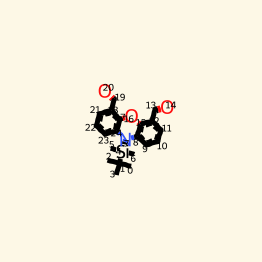 CC(C)(C)[Si](C)(C)N1c2cccc(C=O)c2Oc2c(C=O)cccc21